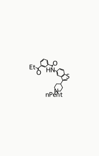 CCCCCN1CCC(c2csc3ccc(NC(=O)c4cccc(C(=O)CC)c4)cc23)CC1